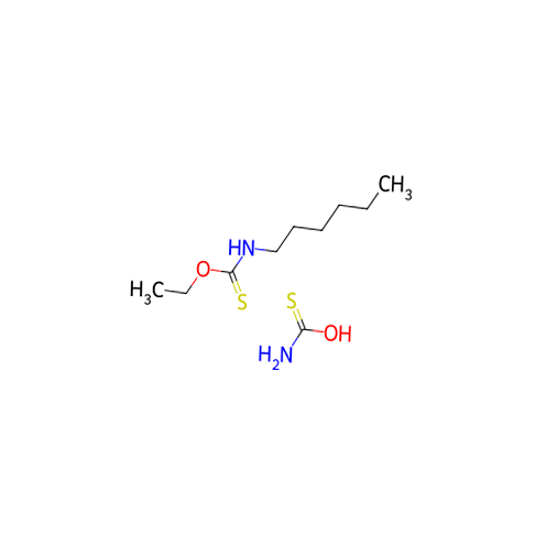 CCCCCCNC(=S)OCC.NC(O)=S